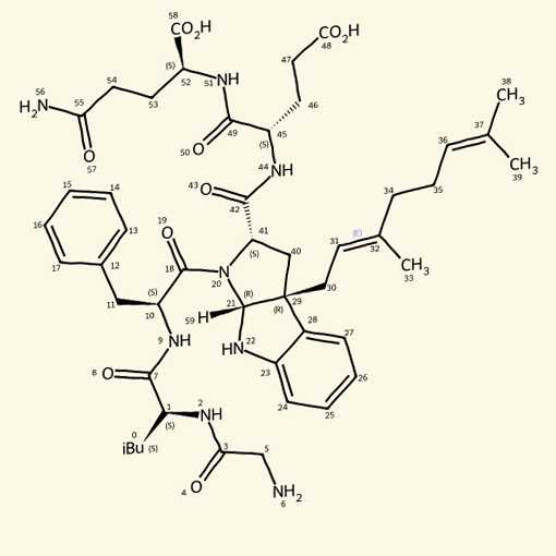 CC[C@H](C)[C@H](NC(=O)CN)C(=O)N[C@@H](Cc1ccccc1)C(=O)N1[C@H]2Nc3ccccc3[C@@]2(C/C=C(\C)CCC=C(C)C)C[C@H]1C(=O)N[C@@H](CCC(=O)O)C(=O)N[C@@H](CCC(N)=O)C(=O)O